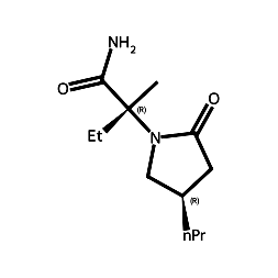 CCC[C@@H]1CC(=O)N([C@](C)(CC)C(N)=O)C1